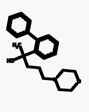 CC(O)(CCCN1CCOCC1)c1ccccc1-c1ccccc1